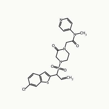 C=CC(c1cc2ccc(Cl)cc2s1)S(=O)(=O)N1CCN(CC(=O)N(C)c2ccncc2)C(=O)C1